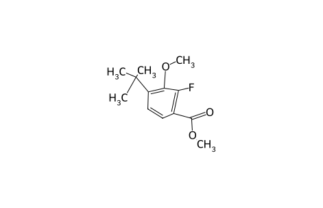 COC(=O)c1ccc(C(C)(C)C)c(OC)c1F